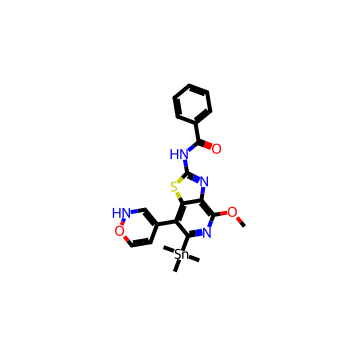 COc1n[c]([Sn]([CH3])([CH3])[CH3])c(C2=CNOC=C2)c2sc(NC(=O)c3ccccc3)nc12